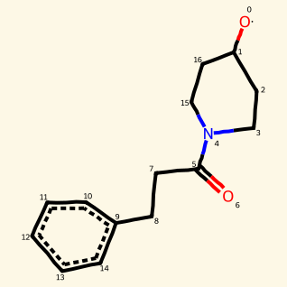 [O]C1CCN(C(=O)CCc2ccccc2)CC1